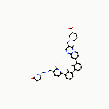 COc1nc(-c2cccc(-c3cccc(-c4ccn5c(=O)c(CN6CCC[C@@H](C(=O)O)C6)cnc5c4)c3Cl)c2Cl)ccc1CNC[C@H]1CCC(=O)N1